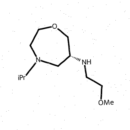 COCCN[C@H]1COCCN(C(C)C)C1